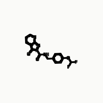 O=C(NCc1ccc(OC(F)F)cc1)n1sc2ncccc2c1=O